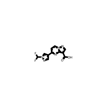 O=C(O)c1cnn2ccc(-c3cnn(C(F)F)c3)nc12